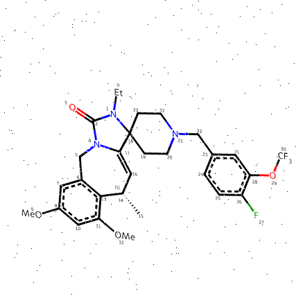 CCN1C(=O)N2Cc3cc(OC)cc(OC)c3[C@@H](C)C=C2C12CCN(Cc1ccc(F)c(OC(F)(F)F)c1)CC2